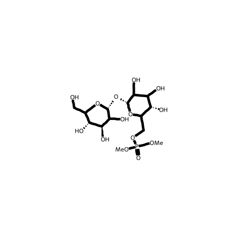 COP(=O)(OC)OCC1O[C@H](O[C@H]2OC(CO)[C@@H](O)[C@H](O)C2O)C(O)C(O)[C@@H]1O